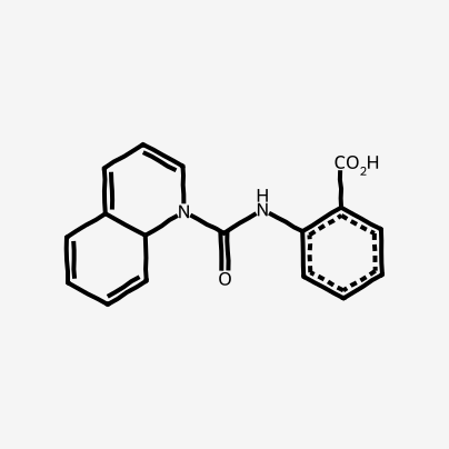 O=C(O)c1ccccc1NC(=O)N1C=CC=C2C=CC=CC21